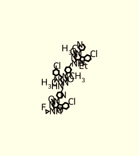 CCn1c2ccc(Cl)cc2c2c1c(NCc1ccc(-n3c(=O)nc(NCc4ccc(-n5c(=O)nc(N[C@@H]6C[C@@H]6F)c6oc7ccc(Cl)cc7c65)cn4)c4c3c3cc(Cl)ccc3n4C)c(C)c1)nc(=O)n2-c1cccnc1C